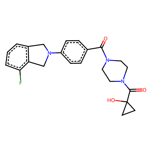 O=C(c1ccc(N2Cc3cccc(F)c3C2)cc1)N1CCN(C(=O)C2(O)CC2)CC1